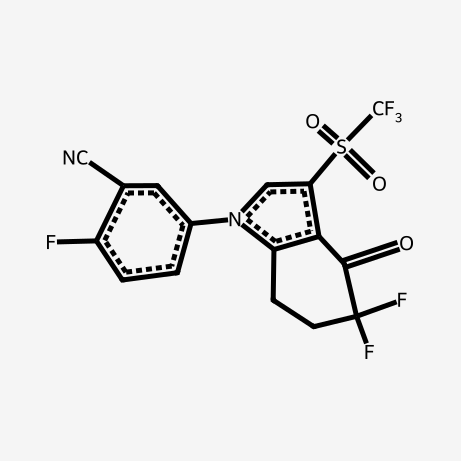 N#Cc1cc(-n2cc(S(=O)(=O)C(F)(F)F)c3c2CCC(F)(F)C3=O)ccc1F